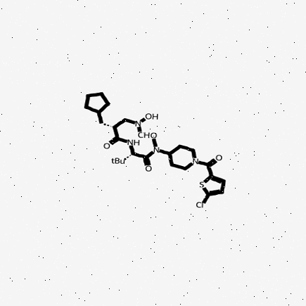 CN(C(=O)[C@@H](NC(=O)[C@H](CC1CCCC1)CN(O)C=O)C(C)(C)C)C1CCN(C(=O)c2ccc(Cl)s2)CC1